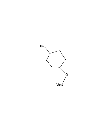 CSOC1CCC(C(C)(C)C)CC1